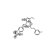 CCc1c[nH]c([C@H](Cc2ccc(N[SH](=O)=O)cc2)NC(=O)CCc2cccc(C)c2)n1